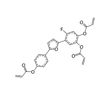 C=CC(=O)Oc1ccc(-c2ccc(-c3cc(OC(=O)C=C)c(OC(=O)C=C)cc3F)o2)cc1